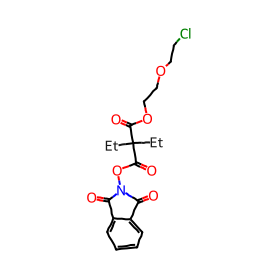 CCC(CC)(C(=O)OCCOCCCl)C(=O)ON1C(=O)c2ccccc2C1=O